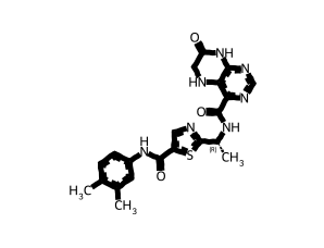 Cc1ccc(NC(=O)c2cnc([C@@H](C)NC(=O)c3ncnc4c3NCC(=O)N4)s2)cc1C